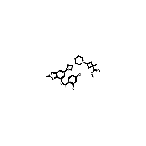 COC(=O)C1(C)CC(N2CCC[C@@H](C3CN(c4cc(O[C@H](C)c5ccc(Cl)cc5Cl)c5nn(C)cc5c4)C3)C2)C1